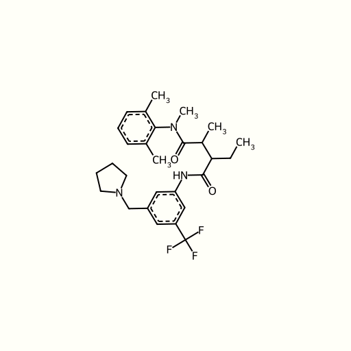 CCC(C(=O)Nc1cc(CN2CCCC2)cc(C(F)(F)F)c1)C(C)C(=O)N(C)c1c(C)cccc1C